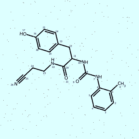 Cc1ccccc1NC(=O)NC(Cc1ccc(O)cc1)C(=O)NCCC#N